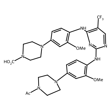 COc1cc(N2CCN(C(C)=O)CC2)ccc1Nc1ncc(C(F)(F)F)c(Nc2ccc(N3CCN(C(=O)O)CC3)cc2OC)n1